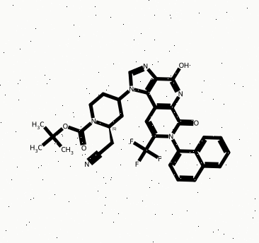 CC(C)(C)OC(=O)N1CCC(n2cnc3c(O)nc4c(=O)n(-c5cccc6ccccc56)c(C(F)(F)F)cc4c32)C[C@H]1CC#N